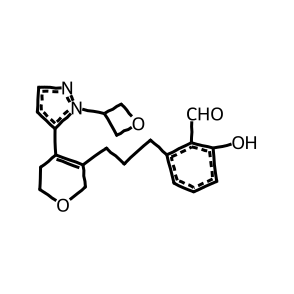 O=Cc1c(O)cccc1CCCC1=C(c2ccnn2C2COC2)CCOC1